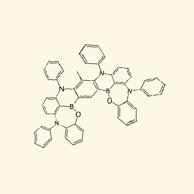 Cc1c2c(cc3c1N(c1ccccc1)c1cccc4c1B3Oc1ccccc1N4c1ccccc1)B1Oc3ccccc3N(c3ccccc3)c3cccc(c31)N2c1ccccc1